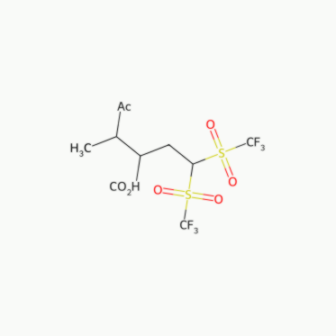 CC(=O)C(C)C(CC(S(=O)(=O)C(F)(F)F)S(=O)(=O)C(F)(F)F)C(=O)O